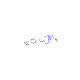 C#CCN1CCC(C=Cc2ccc(C#N)cc2)CC1